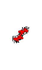 [C-]#[N+]/C(C#N)=C1\C(=C\c2cc3sc4c(c3s2)C(c2ccc(C)cc2)(c2ccc(C)cc2)Oc2c-4sc3c4c(sc23)C2=C(C3SC(/C=C5\C(=O)c6cc(F)c(F)cc6\C5=C(\C#N)[N+]#[C-])=CC3S2)C(c2ccc(C)cc2)(c2ccc(C)cc2)O4)C(=O)c2cc(F)c(F)cc21